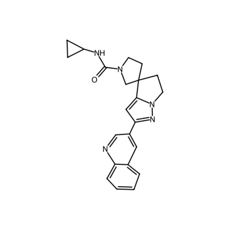 O=C(NC1CC1)N1CCC2(CCn3nc(-c4cnc5ccccc5c4)cc32)C1